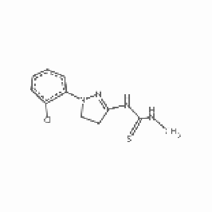 CNC(=S)NC1=NN(c2ccccc2Cl)CC1